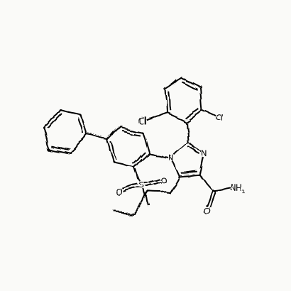 CCCCc1c(C(N)=O)nc(-c2c(Cl)cccc2Cl)n1-c1ccc(-c2ccccc2)cc1S(C)(=O)=O